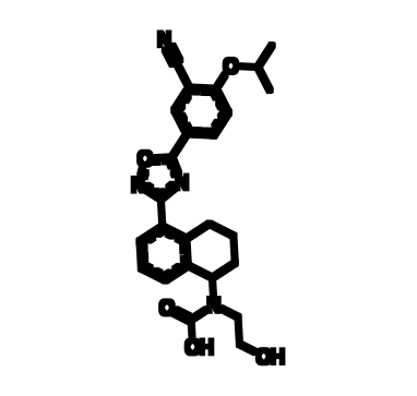 CC(C)Oc1ccc(-c2nc(-c3cccc4c3CCCC4N(CCO)C(=O)O)no2)cc1C#N